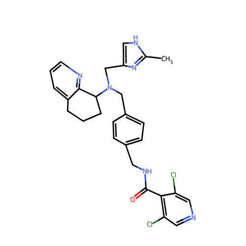 Cc1nc(CN(Cc2ccc(CNC(=O)c3c(Cl)cncc3Cl)cc2)C2CCCc3cccnc32)c[nH]1